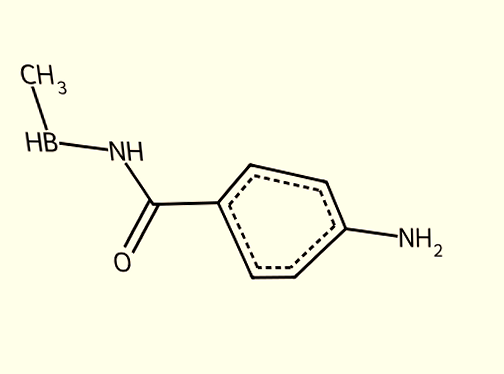 CBNC(=O)c1ccc(N)cc1